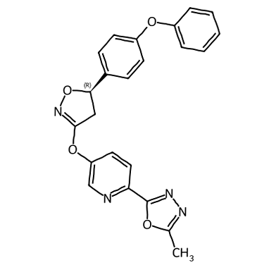 Cc1nnc(-c2ccc(OC3=NO[C@@H](c4ccc(Oc5ccccc5)cc4)C3)cn2)o1